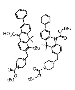 CC(C)(C)OC(=O)N1CCN(Cc2ccc3c(c2)C(C)(C)c2ccc(-c4ccccc4)cc2N3C(=O)OC(C)(C)C)CC1.CC(C)(C)OC(=O)N1CCN(Cc2ccc3c(c2C(C)(C)C)C(C)(C)c2ccc(-c4ccccc4)cc2N3C(=O)O)CC1